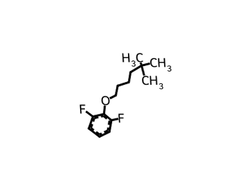 CC(C)(C)CCCCOc1c(F)cccc1F